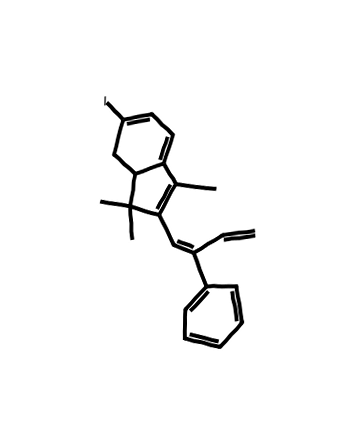 C=C/C(=C\C1=C(C)C2=CC=C(I)CC2C1(C)C)c1ccccc1